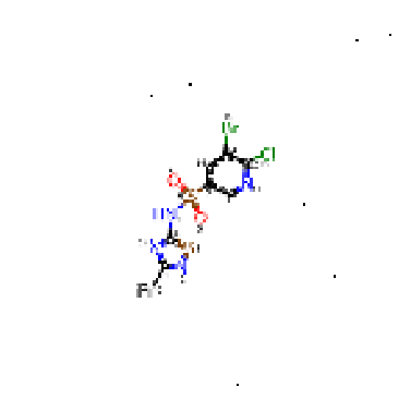 CC(C)c1nsc(NS(=O)(=O)c2cnc(Cl)c(Br)c2)n1